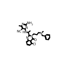 Cc1nc(N)nc(NC(C)c2nc3cccc(Cl)c3c(=O)n2CCCN(C)Cc2ccccc2)c1C#N